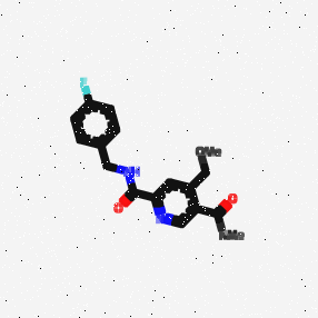 CNC(=O)c1cnc(C(=O)NCc2ccc(F)cc2)cc1COC